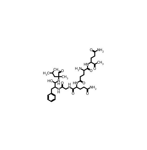 CC(=O)C(CCC(N)=O)NC(=O)C(N)CCC(=O)NC(CCC(N)=O)C(=O)NCC(=O)NC(Cc1ccccc1)C(O)NC(C)(C=O)CC(C)C